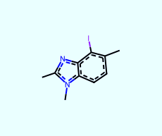 Cc1ccc2c(nc(C)n2C)c1I